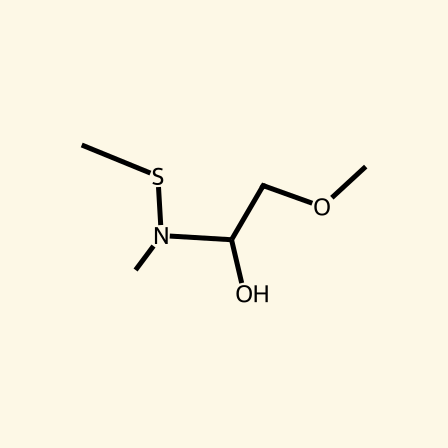 COCC(O)N(C)SC